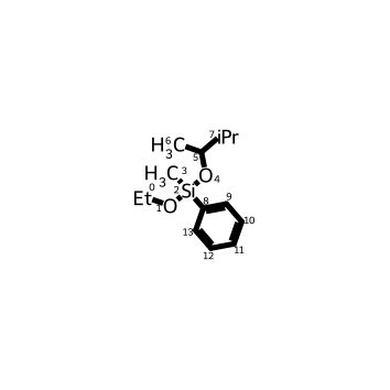 CCO[Si](C)(OC(C)C(C)C)c1ccccc1